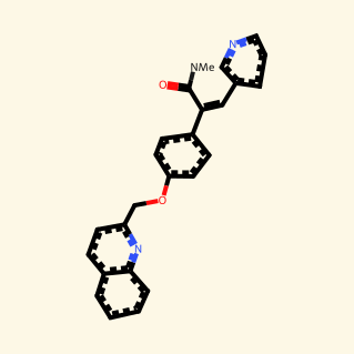 CNC(=O)C(=Cc1cccnc1)c1ccc(OCc2ccc3ccccc3n2)cc1